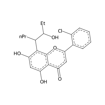 CCCC(c1c(O)cc(O)c2c(=O)cc(-c3ccccc3Cl)oc12)C(O)CC